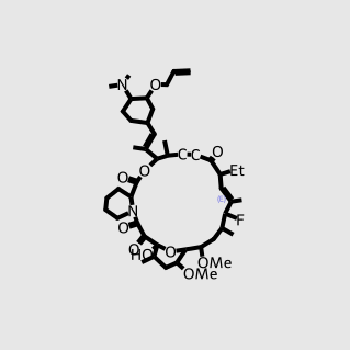 C=CCOC1CC(C=C(C)C2OC(=O)C3CCCCN3C(=O)C(=O)C3(O)OC(C(OC)CC(C)C(F)/C(C)=C/C(CC)C(=O)CCC2C)C(OC)CC3C)CCC1N(C)C